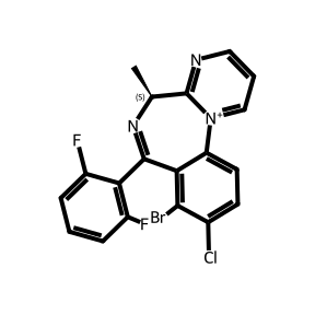 C[C@@H]1N=C(c2c(F)cccc2F)c2c(ccc(Cl)c2Br)-[n+]2cccnc21